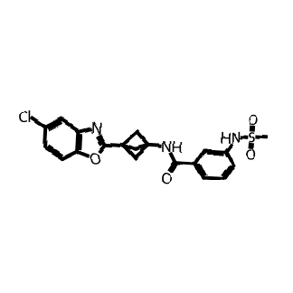 CS(=O)(=O)Nc1cccc(C(=O)NC23CC(c4nc5cc(Cl)ccc5o4)(C2)C3)c1